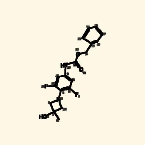 CC1(O)CN(c2c(F)cc(NC(=O)OCc3ccccc3)cc2F)C1